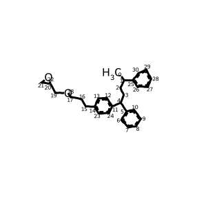 CC(CCC(c1ccccc1)c1ccc(CCCOCC2CO2)cc1)c1ccccc1